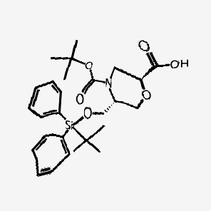 CC(C)(C)OC(=O)N1C[C@@H](C(=O)O)OC[C@@H]1CO[Si](c1ccccc1)(c1ccccc1)C(C)(C)C